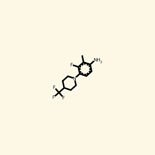 Cc1c(N)ccc(N2CCC(C(F)(F)F)CC2)c1F